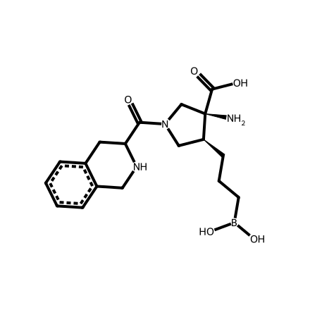 N[C@]1(C(=O)O)CN(C(=O)C2Cc3ccccc3CN2)C[C@@H]1CCCB(O)O